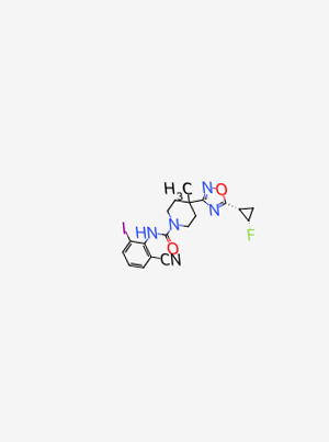 CC1(c2noc([C@@H]3C[C@@H]3F)n2)CCN(C(=O)Nc2c(I)cccc2C#N)CC1